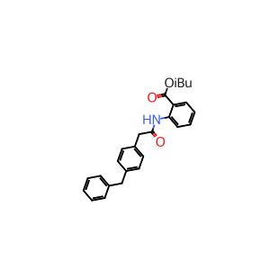 CC(C)COC(=O)c1ccccc1NC(=O)Cc1ccc(Cc2ccccc2)cc1